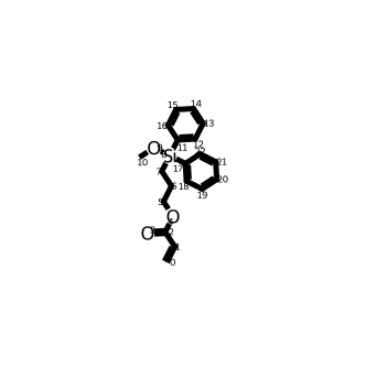 C=CC(=O)OCCC[Si](OC)(c1ccccc1)c1ccccc1